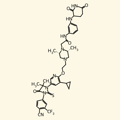 C[C@@H]1CN(CCOc2ncc(N3C(=S)N(c4ccc(C#N)c(C(F)(F)F)c4)C(=O)C3(C)C)cc2C2CC2)C[C@H](C)N1CC(=O)Nc1cccc(NC2CCC(=O)NC2=O)c1